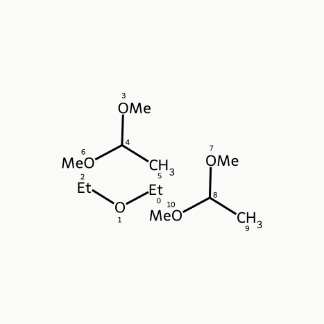 CCOCC.COC(C)OC.COC(C)OC